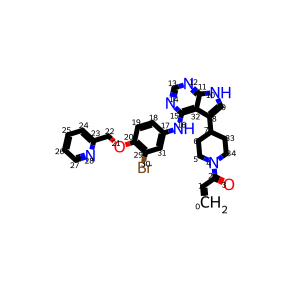 C=CC(=O)N1CCC(c2c[nH]c3ncnc(Nc4ccc(OCc5ccccn5)c(Br)c4)c23)CC1